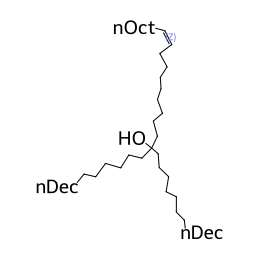 CCCCCCCC/C=C\CCCCCCCCC(O)(CCCCCCCCCCCCCCCC)CCCCCCCCCCCCCCCCC